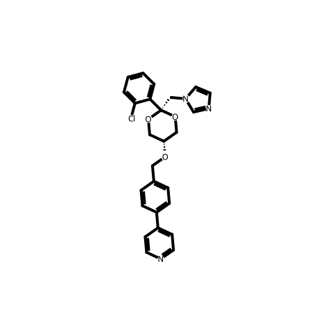 Clc1ccccc1[C@]1(Cn2ccnc2)OC[C@@H](OCc2ccc(-c3ccncc3)cc2)CO1